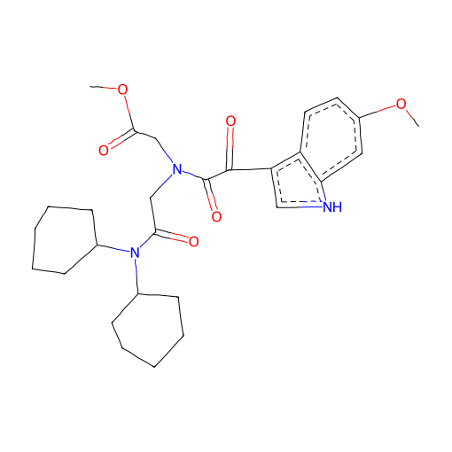 COC(=O)CN(CC(=O)N(C1CCCCC1)C1CCCCC1)C(=O)C(=O)c1c[nH]c2cc(OC)ccc12